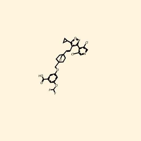 O=C(O)c1cc(OCC23CCC(C=Cc4c(-c5c(Cl)cncc5Cl)noc4C4CC4)(CC2)CO3)cc(OC(F)F)c1